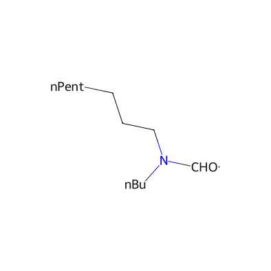 CCCCCCCCN([C]=O)CCCC